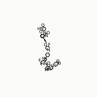 Cn1c(=O)n(C2CCC(=O)NC2=O)c2cccc(C#CCO[C@@H]3CCN(C[C@H]4CC[C@H](n5cc(NC(=O)/C(C=N)=C6\N=C(N7CCS(=O)(=O)CC7)C=CN6)c(C(F)F)n5)CC4)C[C@@H]3F)c21